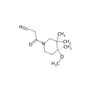 CO[C@@]1(C)CCN(C(=O)CC#N)CC1(C)C